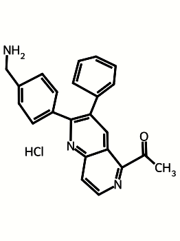 CC(=O)c1nccc2nc(-c3ccc(CN)cc3)c(-c3ccccc3)cc12.Cl